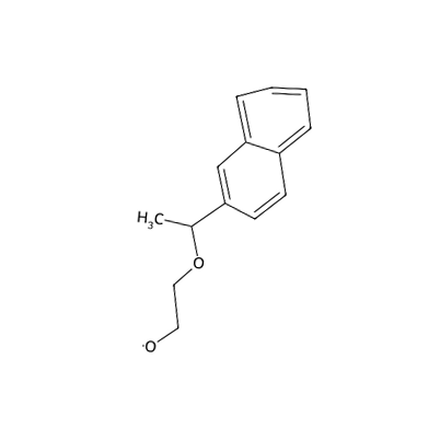 CC(OCC[O])c1ccc2ccccc2c1